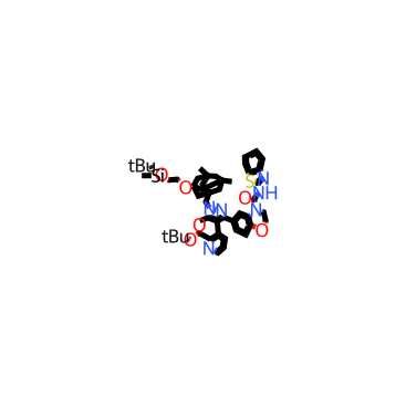 Cc1c(-c2cccnc2C(=O)OC(C)(C)C)c(-c2ccc3c(c2)N(C(=O)Nc2nc4ccccc4s2)CCO3)nn1CC12CC3(C)CC(C)(C1)CC(OCCO[Si](C)(C)C(C)(C)C)(C3)C2